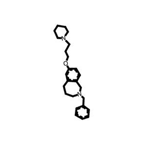 c1ccc(CN2CCCc3cc(OCCCN4CCCCC4)ccc3C2)cc1